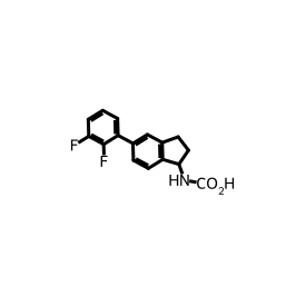 O=C(O)NC1CCc2cc(-c3cccc(F)c3F)ccc21